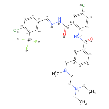 CCN(CC)CCN(C)Cc1cccc(C(=O)Nc2ccc(Cl)cc2C(=O)N/N=C/c2ccc(Cl)c(C(F)(F)F)c2)c1